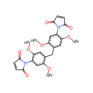 CCCOc1cc(N2C(=O)C=CC2=O)c(OCCC)cc1Cc1cc(OCCC)c(N2C(=O)C=CC2=O)cc1OCCC